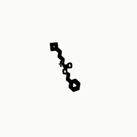 O=C([N]CCCC1CCC1)OCCc1ccccc1